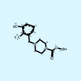 CC(C)(C)OC(=O)N1CCN(Cc2cccc(C#N)c2C(F)(F)F)CC1